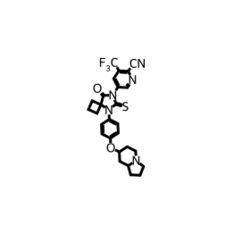 N#Cc1ncc(N2C(=O)C3(CCC3)N(c3ccc(OC4CCN5CCCC5C4)cc3)C2=S)cc1C(F)(F)F